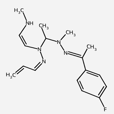 C=C/C=N\N(/C=C\NC)C(C)N(C)/N=C(\C)c1ccc(F)cc1